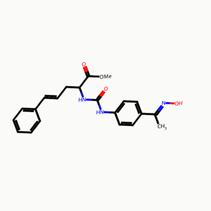 COC(=O)C(CC=Cc1ccccc1)NC(=O)Nc1ccc(C(C)=NO)cc1